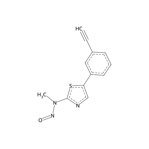 C#Cc1cccc(-c2cnc(N(C)N=O)s2)c1